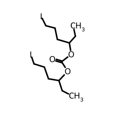 CCC(CCCI)OC(=O)OC(CC)CCCI